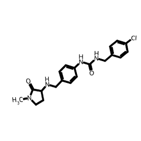 CN1CCC(NCc2ccc(NC(=O)NCc3ccc(Cl)cc3)cc2)C1=O